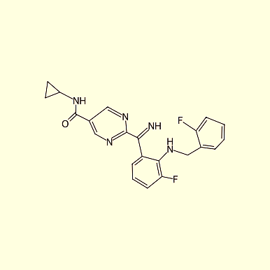 N=C(c1ncc(C(=O)NC2CC2)cn1)c1cccc(F)c1NCc1ccccc1F